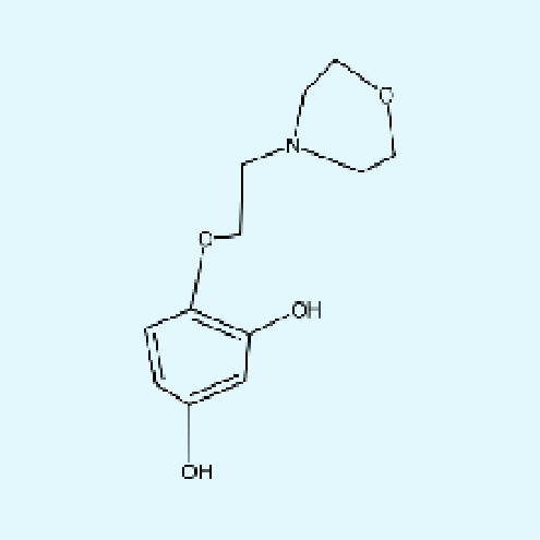 Oc1ccc(OCCN2CCOCC2)c(O)c1